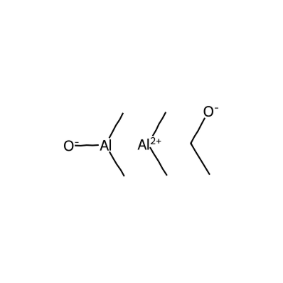 CC[O-].[CH3][Al+2][CH3].[CH3][Al]([CH3])[O-]